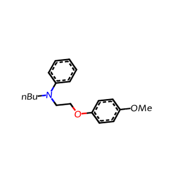 CCCCN(CCOc1ccc(OC)cc1)c1ccccc1